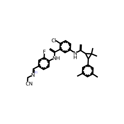 C=C(Nc1ccc(/C=N/CC#N)cc1F)c1cc(NC(=C)C2C(c3cc(C)cc(C)c3)C2(C)C)ccc1Cl